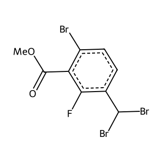 COC(=O)c1c(Br)ccc(C(Br)Br)c1F